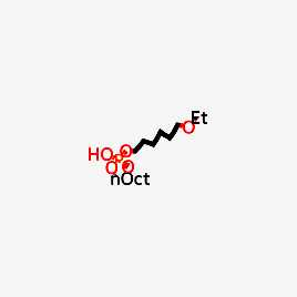 CCCCCCCCOP(=O)(O)OCCCCCCOCC